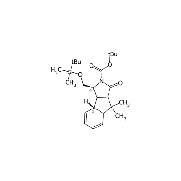 CC(C)(C)OC(=O)N1C(=O)C2C([C@H]3C=CC=CC3C2(C)C)[C@H]1CO[Si](C)(C)C(C)(C)C